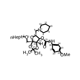 CCCCCCCOC[C@@]12O[C@@H](CN3CCCCC3)[C@@H](OC(=O)Nc3ccc(OC)cc3)[C@@H]1OC(C)(C)O2